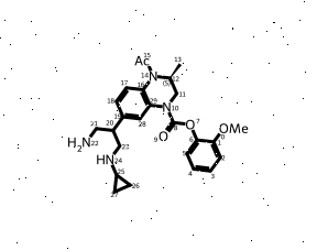 COc1ccccc1OC(=O)N1C[C@H](C)N(C(C)=O)c2ccc(C(CN)CNC3CC3)cc21